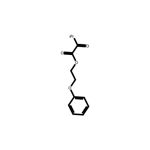 CC(C)C(=O)C(=O)OCCOc1ccccc1